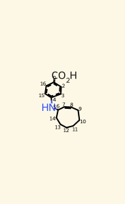 O=C(O)c1ccc(NC2C=CCCCCCC2)cc1